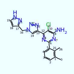 Cc1cccc(-c2nc(N)c(Cl)c(-c3cn(Cc4cc[nH]n4)nn3)n2)c1C